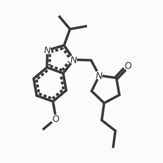 CCCC1CC(=O)N(Cn2c(C(C)C)nc3ccc(OC)cc32)C1